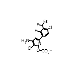 CCC(F)c1c(Cl)ccc(-c2cc(N)c(Cl)c(OC(=O)O)n2)c1F